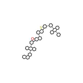 c1ccc(-c2c3ccccc3c(-c3cccc(-c4ccc5sc6c7cccc(-c8cccc9cc%10c(cc89)oc8ccc(-c9c%11ccccc%11c(-c%11ccc%12ccc%13ccccc%13c%12c%11)c%11ccccc9%11)cc8%10)c7ccc6c5c4)c3)c3ccccc23)cc1